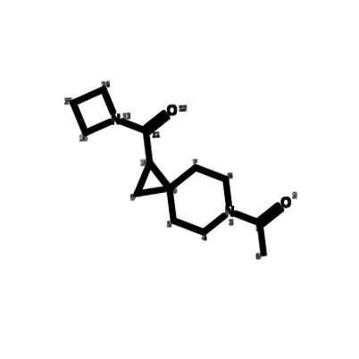 CC(=O)N1CCC2(CC1)CC2C(=O)N1CCC1